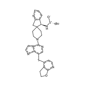 CC(C)(C)[S@@+]([O-])N[C@@H]1c2cccnc2CC12CCN(c1ncc(Sc3ccnc4c3CCO4)c3nccn13)CC2